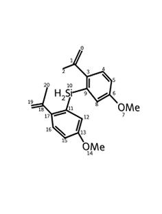 C=C(C)c1ccc(OC)cc1[SiH2]c1cc(OC)ccc1C(=C)C